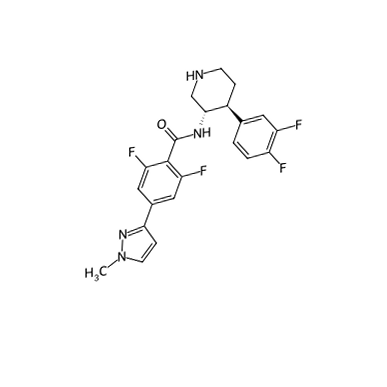 Cn1ccc(-c2cc(F)c(C(=O)N[C@@H]3CNCC[C@H]3c3ccc(F)c(F)c3)c(F)c2)n1